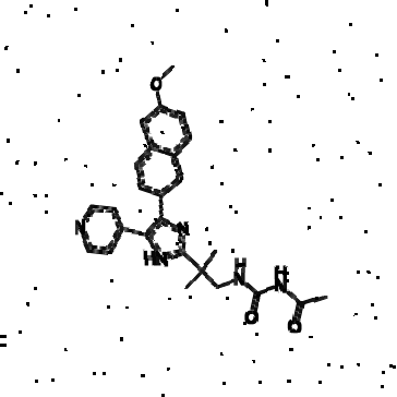 COc1ccc2cc(-c3nc(C(C)(C)CNC(=O)NC(C)=O)[nH]c3-c3ccncc3)ccc2c1